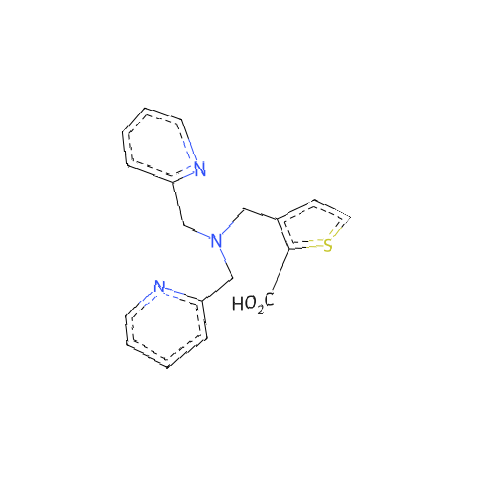 O=C(O)c1sccc1CN(Cc1ccccn1)Cc1ccccn1